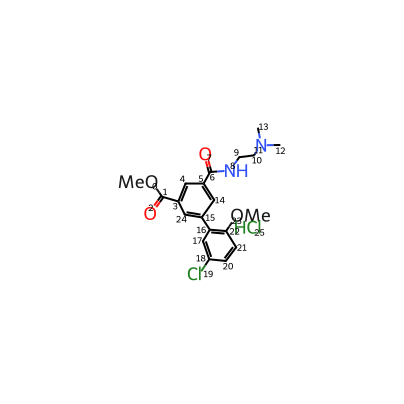 COC(=O)c1cc(C(=O)NCCN(C)C)cc(-c2cc(Cl)ccc2OC)c1.Cl